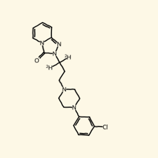 [2H]C([2H])(CCN1CCN(c2cccc(Cl)c2)CC1)n1nc2ccccn2c1=O